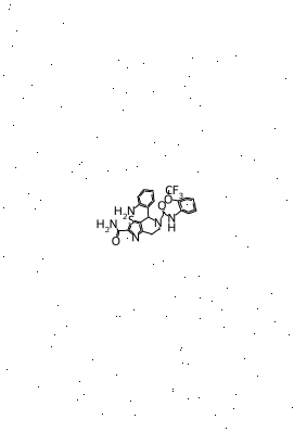 NC(=O)c1nc2c(s1)C(c1ccccc1N)N(C(=O)Nc1ccccc1OC(F)(F)F)CC2